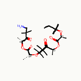 CCC(C)(C)O[C@@H](C)C(=O)O[C@@H](C)C(=O)C(C)(C)C(C)(C)O[C@H](C)C(=O)O[C@H](C)C(=O)C(C)(C)CN